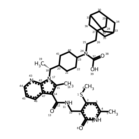 CSc1cc(C)[nH]c(=O)c1CNC(=O)c1c(C)n([C@H](C)C2CCC(N(CCC34CC5CC(CC(C5)C3)C4)C(=O)O)CC2)c2ncccc12